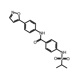 CC(C)S(=O)(=O)Nc1ccc(C(=O)Nc2ccc(-c3ccno3)cc2)cc1